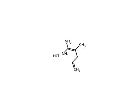 C=CCC(C)=C(N)N.Cl